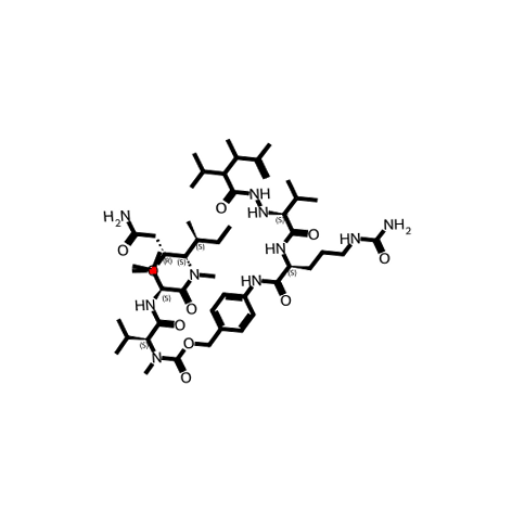 C=C(C)C(C)C(C(=O)NN[C@H](C(=O)N[C@@H](CCCNC(N)=O)C(=O)Nc1ccc(COC(=O)N(C)[C@H](C(=O)N[C@H](C(=O)N(C)[C@@H]([C@@H](C)CC)[C@@H](CC(N)=O)OC)C(C)C)C(C)C)cc1)C(C)C)C(C)C